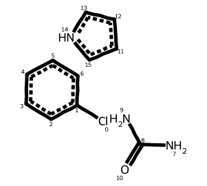 Clc1ccccc1.NC(N)=O.c1cc[nH]c1